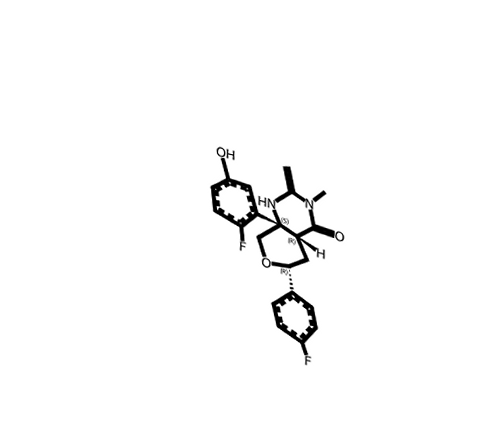 C=C1N[C@@]2(c3cc(O)ccc3F)CO[C@@H](c3ccc(F)cc3)C[C@H]2C(=O)N1C